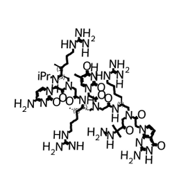 Cc1cn(CC(=O)N(CC(=O)N[C@@H](CCCCNC(=N)N)CN(CC(=O)C(C)(C)NN)C(=O)Cn2ccc3c(=O)[nH]c(N)nc32)C[C@@H](NC(=O)CN(C[C@@H](NC(C)C)[C@@H](C)CCCNC(=N)N)C(=O)Cn2ccc(N)nc2=O)[C@@H](C)CCCNC(=N)N)c(=O)[nH]c1=O